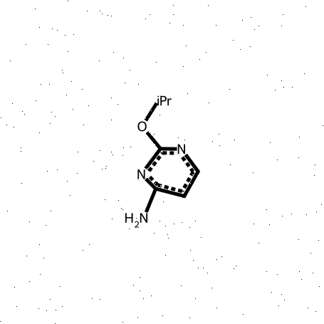 CC(C)Oc1nccc(N)n1